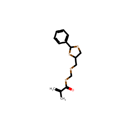 C=C(C)C(=O)SCSCC1CSC(c2ccccc2)S1